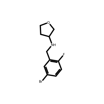 Fc1ccc(Br)cc1CNC1CCOC1